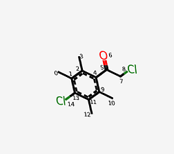 Cc1c(C)c(C(=O)CCl)c(C)c(C)c1Cl